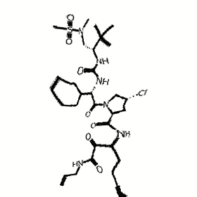 C#CCCC(NC(=O)[C@@H]1C[C@@H](Cl)CN1C(=O)[C@@H](NC(=O)N[C@H](CN(C)S(C)(=O)=O)C(C)(C)C)C1CCCCC1)C(=O)C(=O)NCC=C